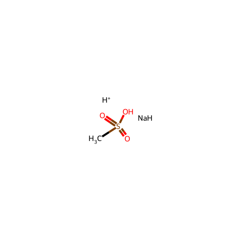 CS(=O)(=O)O.[H+].[NaH]